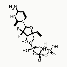 C=C[C@]1(COP(=O)(O)OP(=O)(O)OP(=O)(O)O)O[C@@H](N2C=CC(N)NC2=C)C(F)(F)[C@@H]1O